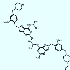 CCCC(N)Nc1nc(NNC(CCC)Nc2nc(N)nc3cn(Cc4ccc(CN5CCN(CCO)CC5)cc4OC)nc23)nc2cn(Cc3ccc(CN4CCNCC4)cc3OC)nc12